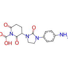 Nc1ccc(N2CCN(C3CCC(=O)N(C(=O)O)C3=O)C2=O)cc1